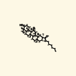 CCCCCCOC(=O)[C@@]1(C)CC[C@]2(C)CC[C@]3(C)C(=CC(=O)[C@@H]4[C@@]5(C)CC[C@H](O)C(C)(C)[C@@H]5CC[C@]43C)[C@H]2C1